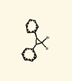 BrC1(Br)C(c2ccccc2)C1c1ccccc1